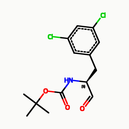 CC(C)(C)OC(=O)N[C@H](C=O)Cc1cc(Cl)cc(Cl)c1